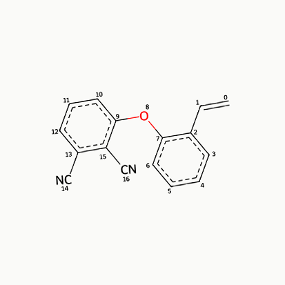 C=Cc1ccccc1Oc1cccc(C#N)c1C#N